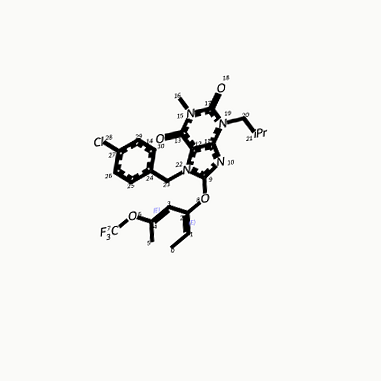 C/C=C(\C=C(/C)OC(F)(F)F)Oc1nc2c(c(=O)n(C)c(=O)n2CC(C)C)n1Cc1ccc(Cl)cc1